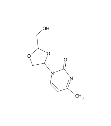 Cc1ccn(C2COC(CO)O2)c(=O)n1